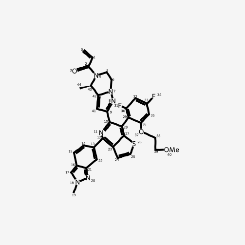 C=CC(=O)N1CCn2nc(-c3nc(-c4ccc5cn(C)nc5c4)c4ccsc4c3-c3c(F)cc(F)cc3OCCOC)cc2[C@H]1C